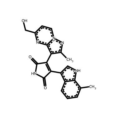 Cc1nn2ccc(CO)nc2c1C1=C(c2c[nH]c3c(C)cccc23)C(=O)NC1=O